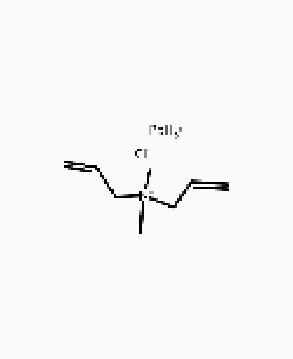 C=CC[N+](C)(C)CC=C.[Cl-].[PbH2]